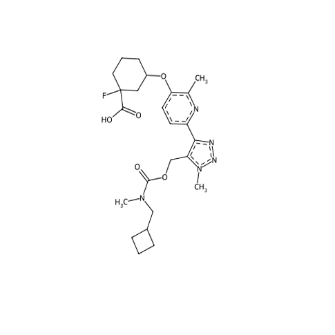 Cc1nc(-c2nnn(C)c2COC(=O)N(C)CC2CCC2)ccc1OC1CCCC(F)(C(=O)O)C1